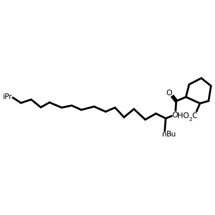 CCCCC(CCCCCCCCCCCCCCC(C)C)OC(=O)C1CCCCC1C(=O)O